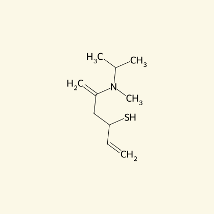 C=CC(S)CC(=C)N(C)C(C)C